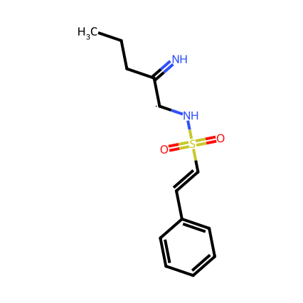 CCCC(=N)[CH]NS(=O)(=O)C=Cc1ccccc1